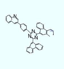 C/C=C\c1c(C)cc(-c2nc(-c3ccc(-c4cnc5ccccc5c4)cc3)nc(-c3cc4ccccc4c4ccccc34)n2)c2ccccc12